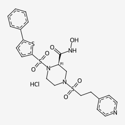 Cl.O=C(NO)[C@H]1CN(S(=O)(=O)CCc2ccncc2)CCN1S(=O)(=O)c1ccc(-c2ccccc2)s1